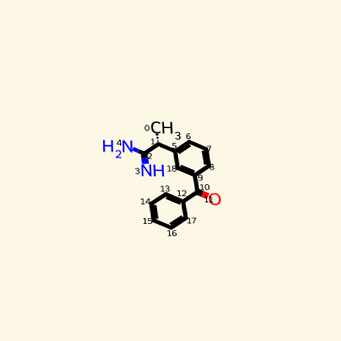 C[C@@H](C(=N)N)c1cccc(C(=O)c2ccccc2)c1